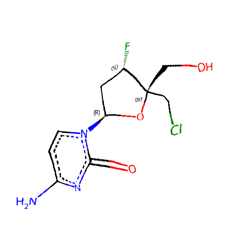 Nc1ccn([C@H]2C[C@H](F)[C@](CO)(CCl)O2)c(=O)n1